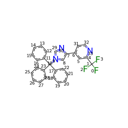 FC(F)(F)c1cc(-c2cn(C(c3ccccc3)(c3ccccc3)c3ccccc3)cn2)ccn1